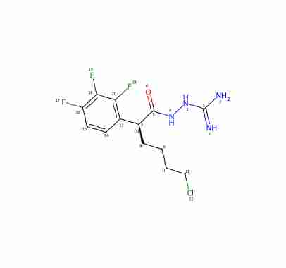 N=C(N)NNC(=O)[C@@H](CCCCCl)c1ccc(F)c(F)c1F